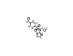 COCN(c1nccs1)S(=O)(=O)c1ccc(C=O)cc1